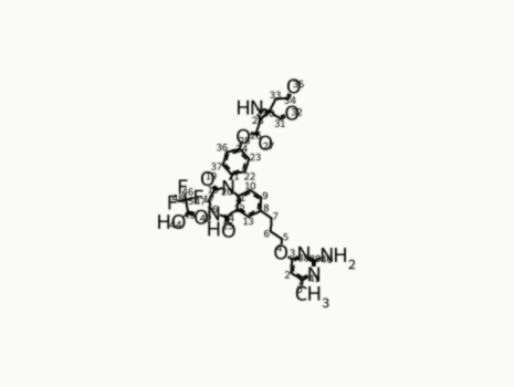 Cc1cc(OCCCc2ccc3c(c2)C(=O)NCC(=O)N3c2ccc(OC(=O)C3NC3(C=O)CC=O)cc2)nc(N)n1.O=C(O)C(F)(F)F